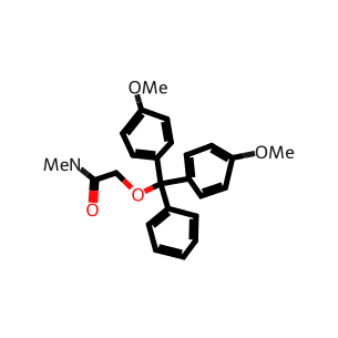 CNC(=O)COC(c1ccccc1)(c1ccc(OC)cc1)c1ccc(OC)cc1